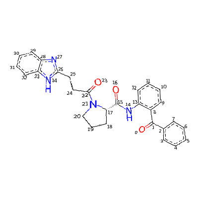 O=C(c1ccccc1)c1ccccc1NC(=O)[C@@H]1CCCN1C(=O)CCc1nc2ccccc2[nH]1